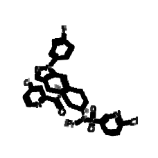 CC(C)N([C@H]1CCC2=Cc3c(cnn3-c3ccc(F)cc3)C[C@]2(C(=O)c2cc(Cl)ccn2)C1)S(=O)(=O)c1ccc(Cl)nc1